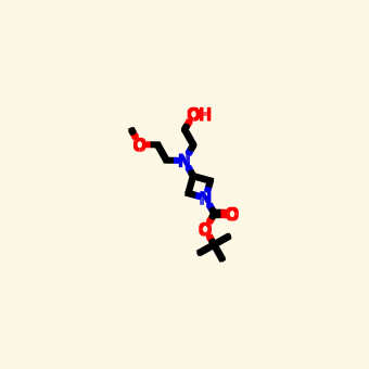 COCCN(CCO)C1CN(C(=O)OC(C)(C)C)C1